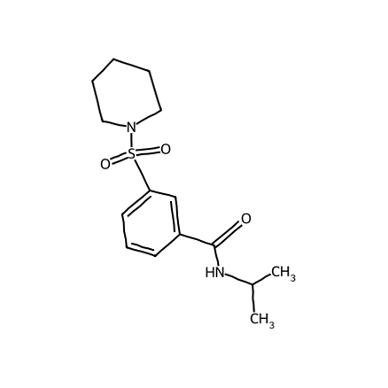 CC(C)NC(=O)c1cccc(S(=O)(=O)N2CCCCC2)c1